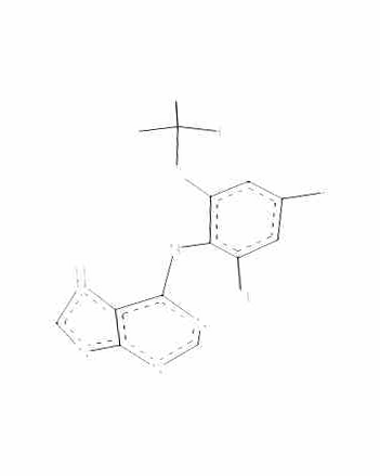 FC(F)(F)Oc1cc(Cl)cc(Cl)c1Nc1ncnc2nc[nH]c12